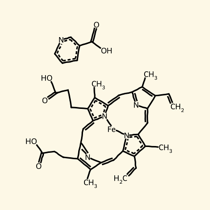 C=CC1=C(C)C2=NC/1=C\c1c(C)c(C=C)c3[n]1[Fe][n]1/c(c(C)c(CCC(=O)O)/c1=C/C1=NC(=C\3)/C(C)=C1CCC(=O)O)=C\2.O=C(O)c1cccnc1